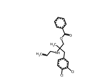 C=CCNC(C)([CH]OC(=O)c1ccccc1)Cc1ccc(Cl)c(Cl)c1